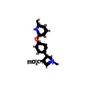 CCOC(=O)c1cn(C)cc1-c1ccc(Oc2cccc(C)n2)cc1